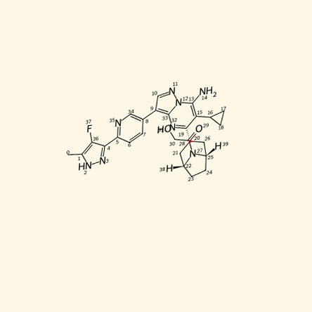 Cc1[nH]nc(-c2ccc(-c3cnn4c(N)c(C5CC5)c([C@H]5C[C@H]6CC[C@@H](C5)N6C(=O)CO)nc34)cn2)c1F